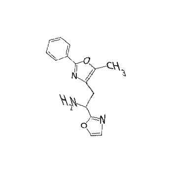 Cc1oc(-c2ccccc2)nc1CC(N)c1ncco1